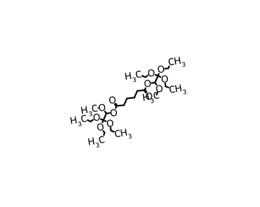 CCOC(OCC)(OCC)C(OC)OC(=O)CCCCC(=O)OC(OC)C(OCC)(OCC)OCC